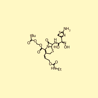 CCNC(=O)OC/C=C\C1=C(C(=O)OCOC(=O)C(C)(C)C)N2C(=O)C(NC(=O)/C(=N\O)c3csc(N)n3)[C@H]2SC1